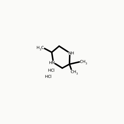 CC1CNC(C)(C)CN1.Cl.Cl